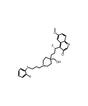 COc1ccc2ncc(Cl)c([C@@H](F)CCC3(CO)CCN(CCCSc4ccccc4F)CC3)c2c1